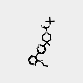 CCOc1ncccc1-c1ccc(C2(C)CCN(C(=O)OC(C)(C)C)CC2)nn1